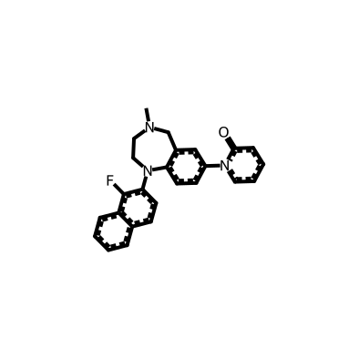 CN1CCN(c2ccc3ccccc3c2F)c2ccc(-n3ccccc3=O)cc2C1